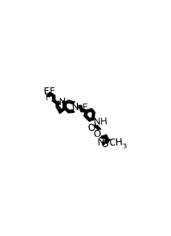 Cc1cc(OCC(=O)NC2CCC(F)(CCN3CCc4ccc(CCC(F)(F)F)nc4CC3)CC2)no1